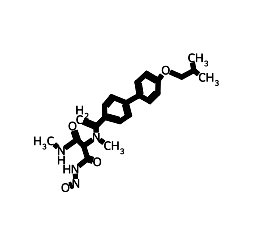 C=C(c1ccc(-c2ccc(OCC(C)C)cc2)cc1)N(C)C(C(=O)NC)C(=O)NN=O